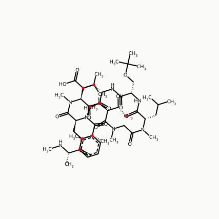 CN[C@@H](C)C(=O)N(C)[C@@H](C)C(=O)N(C)[C@@H](Cc1ccccc1)C(=O)N(C)[C@@H](CC(C)C)C(=O)N[C@H](C(=O)N(C)CC(=O)N(C)[C@@H](CC(C)C)C(=O)N[C@@H](COC(C)(C)C)C(=O)N[C@@H](CCC(=O)O)C(=O)O)[C@@H](C)O